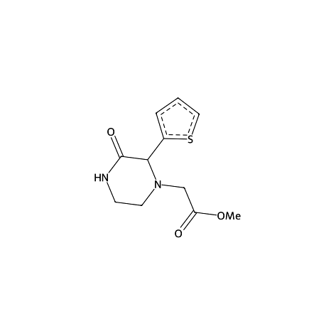 COC(=O)CN1CCNC(=O)C1c1cccs1